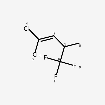 CC(C=C(Cl)Cl)C(F)(F)F